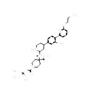 Cc1cc(C2CCNC(S(=O)(=O)C3(C(=O)O)CCN(C(=O)OC(C)(C)C)CC3)C2)ccc1-c1cccc(OCCO)n1